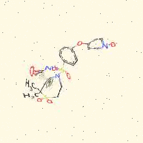 CC1(C)[C@H](C(N)=O)N(S(=O)(=O)c2ccc(Oc3cc[n+]([O-])cc3)cc2)CCS1(=O)=O